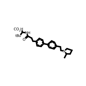 CC1CCCN1CCc1ccc(-c2ccc(CCC(=O)NC(C(=O)O)C(C)(C)C)cc2)cc1